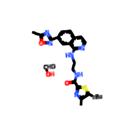 CCCCc1sc(C(=O)NCCNc2nccc3ccc(-c4noc(C)n4)cc23)nc1C.O=CO